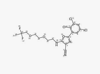 N#Cc1nc(-c2cc(Cl)cc(Cl)c2Cl)oc1NCCOCCOCC(F)(F)F